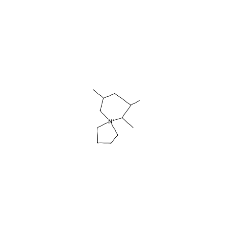 CC1CC(C)C(C)[N+]2(CCCC2)C1